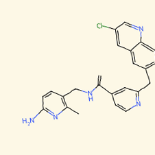 C=C(NCc1ccc(N)nc1C)c1ccnc(Cc2ccc3ncc(Cl)cc3c2)c1